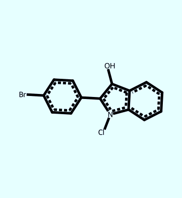 Oc1c(-c2ccc(Br)cc2)n(Cl)c2ccccc12